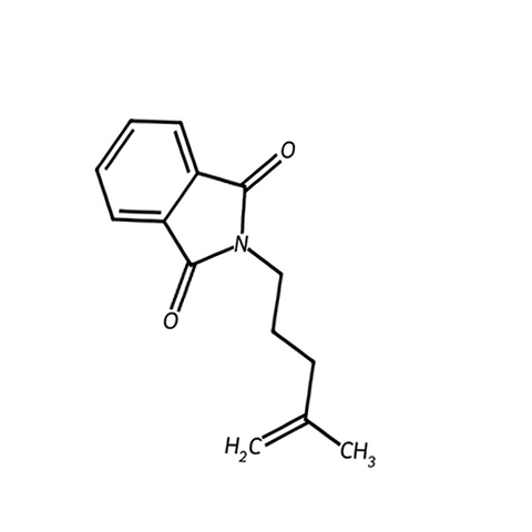 C=C(C)CCCN1C(=O)c2ccccc2C1=O